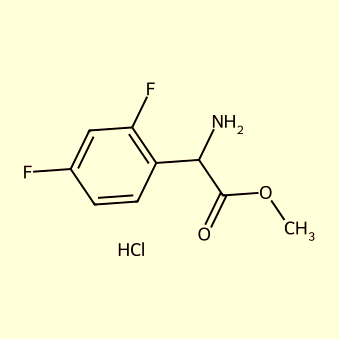 COC(=O)C(N)c1ccc(F)cc1F.Cl